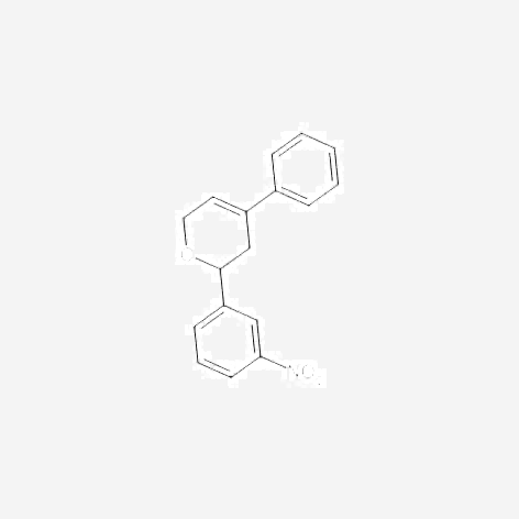 O=[N+]([O-])c1cccc(C2CC(c3ccccc3)=CCO2)c1